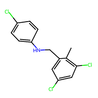 Cc1c(Cl)cc(Cl)cc1CNc1ccc(Cl)cc1